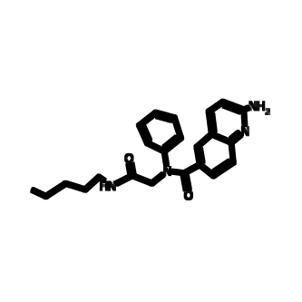 CCCCCNC(=O)CN(C(=O)c1ccc2nc(N)ccc2c1)c1ccccc1